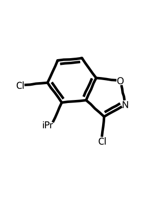 CC(C)c1c(Cl)ccc2onc(Cl)c12